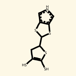 SC1=C(S)SC(C2Sc3c[nH]cc3S2)C1